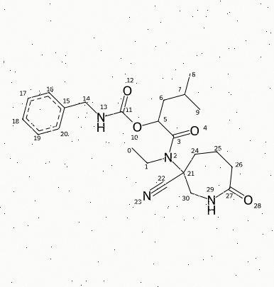 CCN(C(=O)C(CC(C)C)OC(=O)NCc1ccccc1)C1(C#N)CCCC(=O)NC1